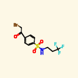 O=C(CBr)c1ccc(S(=O)(=O)NCCC(F)(F)F)cc1